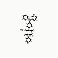 COC1=C(c2ccc(N(c3ccccc3)c3ccccc3)cc2)C(=O)C(C)=C(c2ccccc2)C1=O